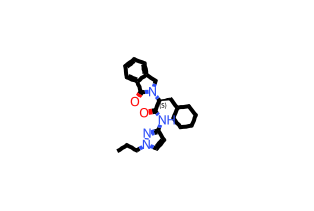 CCCn1ccc(NC(=O)[C@H](CC2CCCCC2)N2Cc3ccccc3C2=O)n1